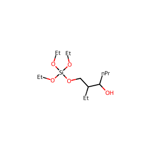 CCCC(O)C(CC)CO[Si](OCC)(OCC)OCC